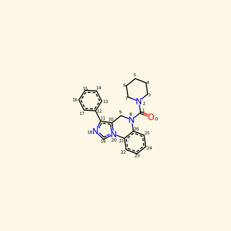 O=C(N1CCCCC1)N1Cc2c(-c3ccccc3)ncn2-c2ccccc21